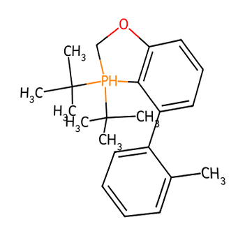 Cc1ccccc1-c1cccc2c1[PH](C(C)(C)C)(C(C)(C)C)CO2